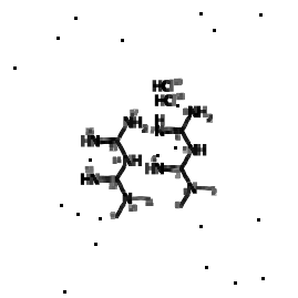 CN(C)C(=N)NC(=N)N.CN(C)C(=N)NC(=N)N.Cl.Cl